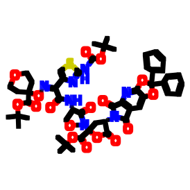 CC(C)(C)OC(=O)Nc1nc(/C(=N/OC2(C(=O)OC(C)(C)C)CCOCC2)C(=O)N[C@H]2CON(C3(C(=O)OC(C)(C)C)C[C@H](N4C(=O)c5cc6c(nc5C4=O)OC(c4ccccc4)(c4ccccc4)O6)C(=O)O3)C2=O)cs1